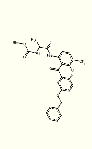 CC(NC(=O)OC(C)(C)C)C(=O)Nc1ccc(C(F)(F)F)c(Cl)c1C(=O)c1nc(OCc2ccccc2)ccc1F